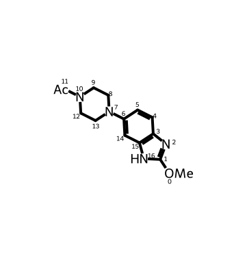 COc1nc2ccc(N3CCN(C(C)=O)CC3)cc2[nH]1